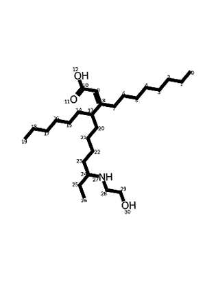 CCCCCCCCC(=CC(=O)O)C(CCCCCC)CCCCC(CC)NCCO